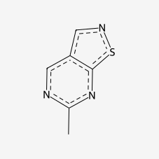 Cc1ncc2cnsc2n1